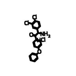 Cl.NC(C(=O)c1ccc(Oc2ccccc2)cc1)c1ccc(Cl)c(Cl)c1